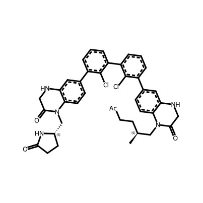 CC(=O)CC[C@H](C)CN1C(=O)CNc2cc(-c3cccc(-c4cccc(-c5ccc6c(c5)NCC(=O)N6C[C@@H]5CCC(=O)N5)c4Cl)c3Cl)ccc21